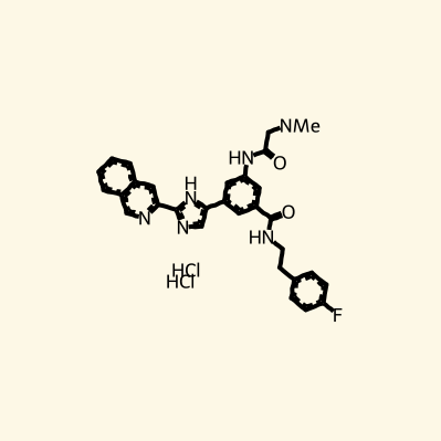 CNCC(=O)Nc1cc(C(=O)NCCc2ccc(F)cc2)cc(-c2cnc(-c3cc4ccccc4cn3)[nH]2)c1.Cl.Cl